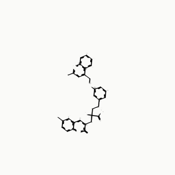 Cc1ccc2oc(=O)c(CC(O)(CCc3cccc(OCc4cc(C)nc5ccccc45)c3)C(N)=O)cc2c1